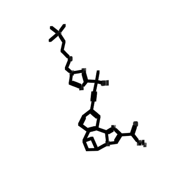 CC(O)(C#Cc1ccc2c(c1)-c1nc(C(N)=O)cn1C1CC2C1)c1ncn(COCC[Si](C)(C)C)n1